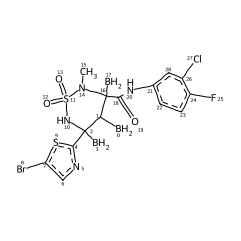 BC1C(B)(c2ncc(Br)s2)NS(=O)(=O)N(C)C1(B)C(=O)Nc1ccc(F)c(Cl)c1